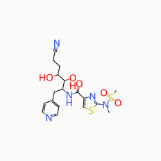 CN(c1nc(C(=O)NC(Cc2ccncc2)C(O)C(O)CCC#N)cs1)S(C)(=O)=O